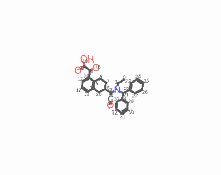 CCN(C(=C=O)C1CCc2c(cccc2C(=O)C(=O)O)C1)C(c1ccccc1)c1ccccc1